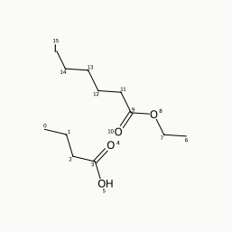 CCCC(=O)O.CCOC(=O)CCCCI